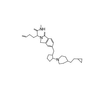 C=CCCC(C(=C)NC)N1Cc2cc(CC3CCCC3N3CCC(CCC4CC4)CC3)ccc2C1=C